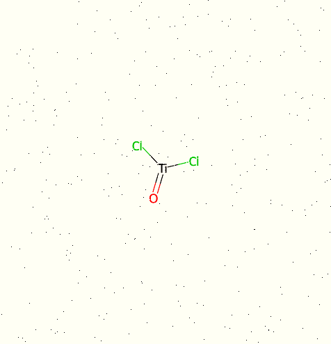 [O]=[Ti]([Cl])[Cl]